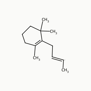 C/[C]=C/CC1=C(C)CCCC1(C)C